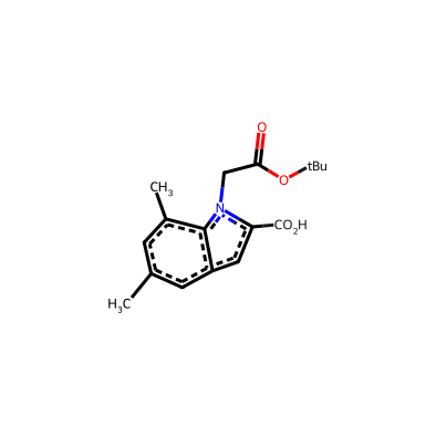 Cc1cc(C)c2c(c1)cc(C(=O)O)n2CC(=O)OC(C)(C)C